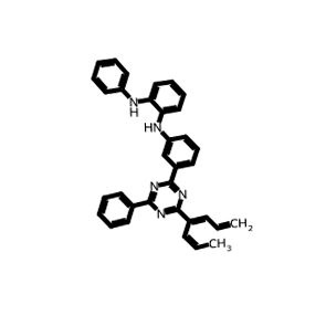 C=C/C=C(\C=C/C)c1nc(-c2ccccc2)nc(-c2cccc(Nc3ccccc3Nc3ccccc3)c2)n1